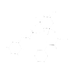 CC1(C)CC(O)CC(C)(C)N1CC(=O)NOC1CCCCC1.O=C(CCl)OC1CCCCC1